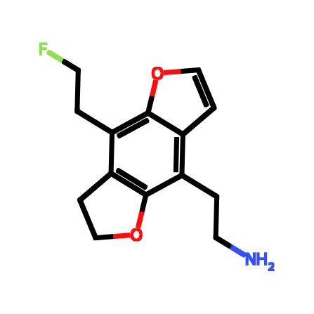 NCCc1c2c(c(CCF)c3occc13)CCO2